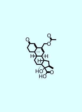 C=C1C[C@H]2[C@@H]3C=C(COC(C)=O)C4=CC(=O)CC[C@]4(C)[C@H]3CC[C@]2(C)[C@@]1(O)C(=O)O